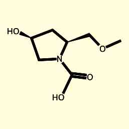 COC[C@@H]1C[C@H](O)CN1C(=O)O